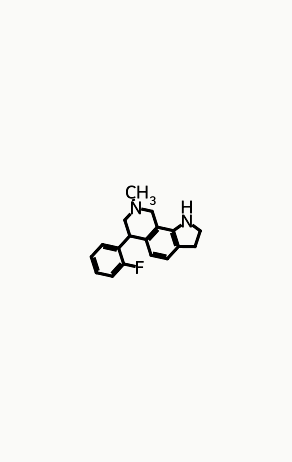 CN1Cc2c(ccc3c2NCC3)C(c2ccccc2F)C1